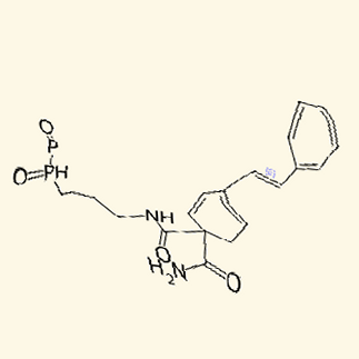 NC(=O)C1(C(=O)NCCC[PH](=O)P=O)C=CC(/C=C/c2ccccc2)=CC1